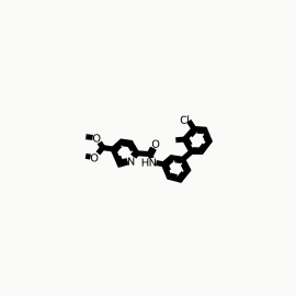 COC(OC)c1ccc(C(=O)Nc2cccc(-c3cccc(Cl)c3C)c2)nc1